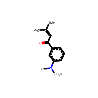 CSC(=CC(=O)c1cccc(N(C(C)=O)C(=O)O)c1)SC